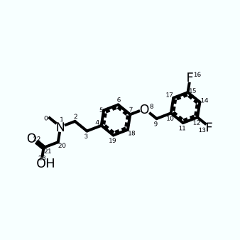 CN(CCc1ccc(OCc2cc(F)cc(F)c2)cc1)CC(=O)O